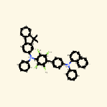 CC1(C)c2ccccc2-c2ccc(N(c3ccccc3)c3c(F)c(F)c(-c4ccc(N(c5ccccc5)c5cccc6ccccc56)cc4)c(F)c3F)cc21